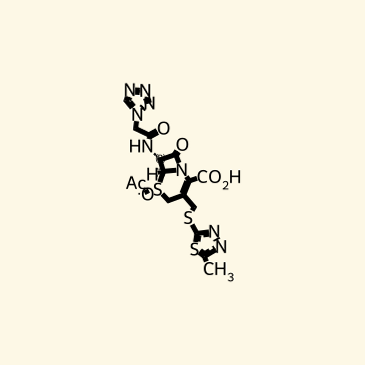 CC([O])=O.Cc1nnc(SCC2=C(C(=O)O)N3C(=O)[C@@H](NC(=O)Cn4cnnn4)[C@H]3SC2)s1